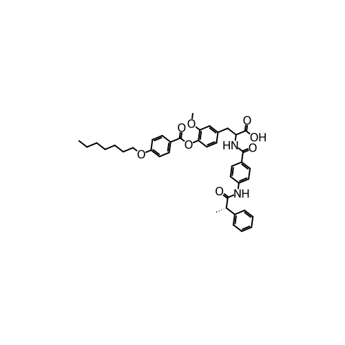 CCCCCCCOc1ccc(C(=O)Oc2ccc(CC(NC(=O)c3ccc(NC(=O)[C@@H](C)c4ccccc4)cc3)C(=O)O)cc2OC)cc1